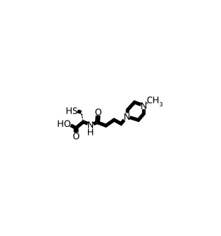 CN1CCN(CCCC(=O)N[C@@H](CS)C(=O)O)CC1